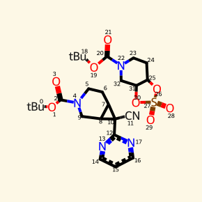 CC(C)(C)OC(=O)N1CCC2C(C1)C2(C#N)c1ncccn1.CC(C)(C)OC(=O)N1CCC2OS(=O)(=O)OC2C1